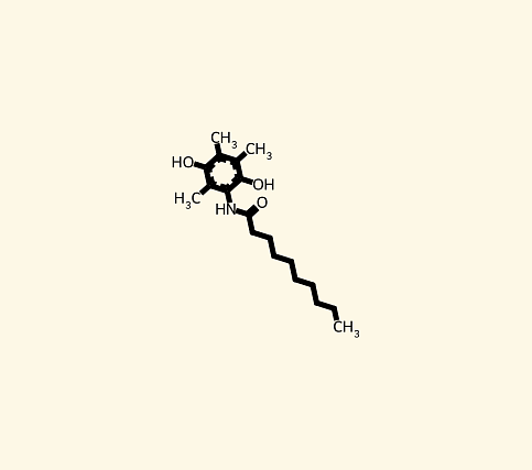 CCCCCCCCCC(=O)Nc1c(C)c(O)c(C)c(C)c1O